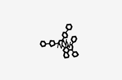 c1ccc(-c2ccc(-c3cc(-c4ccc(-c5ccccc5)cc4)nc(-c4cc5ccccc5c5c(-c6ccccc6)cc(-c6ccccc6)nc45)n3)cc2)cc1